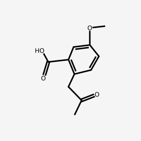 COc1ccc(CC(C)=O)c(C(=O)O)c1